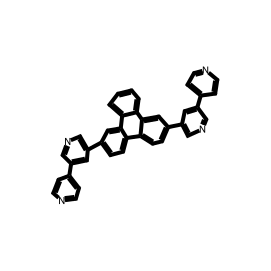 c1ccc2c(c1)c1cc(-c3cncc(-c4ccncc4)c3)ccc1c1ccc(-c3cncc(-c4ccncc4)c3)cc21